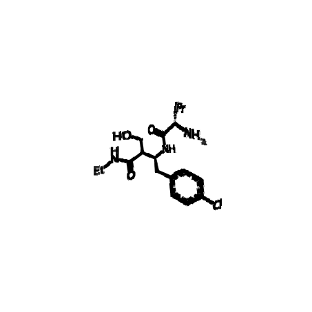 CCNC(=O)C(CO)[C@H](Cc1ccc(Cl)cc1)NC(=O)[C@@H](N)C(C)C